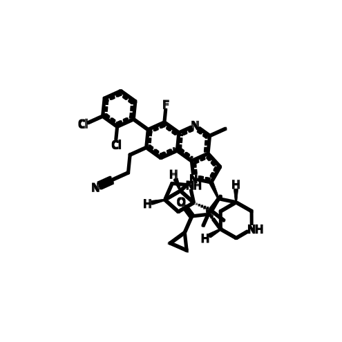 Cc1nc2c(F)c(-c3cccc(Cl)c3Cl)c(CCC#N)cc2c2c1cc([C@H]1[C@@H]3CNC[C@@H](C3)N1C(=O)C1CC1)n2[C@H]1[C@H]2CN[C@@]1(C(C)(C)C)C2